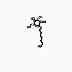 NCCCCCCO[C@H]1O[C@H](CO)[C@@H](O)[C@H](O)[C@@H]1O